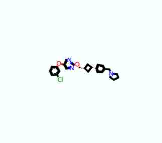 Clc1cccc(Oc2cnc(OC[C@H]3C[C@@H](c4ccc(CN5CCCC5)cc4)C3)nc2)c1